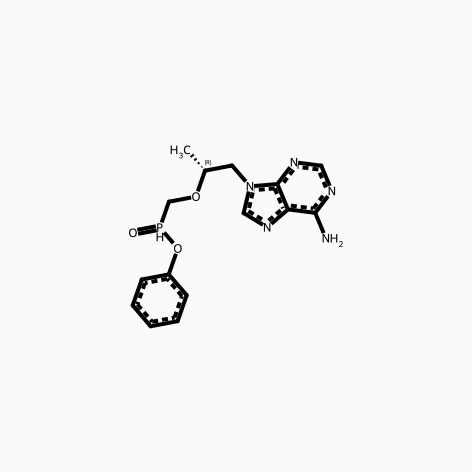 C[C@H](Cn1cnc2c(N)ncnc21)OC[PH](=O)Oc1ccccc1